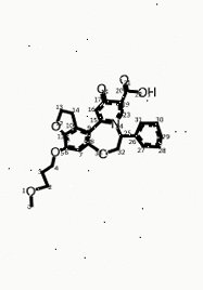 COCCCOc1cc2c(c3c1OCC3)-c1cc(=O)c(C(=O)O)cn1C(c1ccccc1)CO2